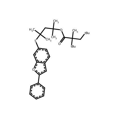 CC(C)(C)CC(C)(C(=O)OC(C)(C)CC(C)(C)Sc1ccc2cc(-c3ccccc3)oc2c1)C(C)(C)C